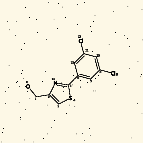 [O]Cc1csc(-c2cc(Cl)cc(Cl)c2)n1